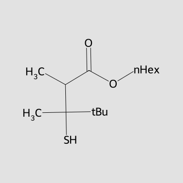 CCCCCCOC(=O)C(C)C(C)(S)C(C)(C)C